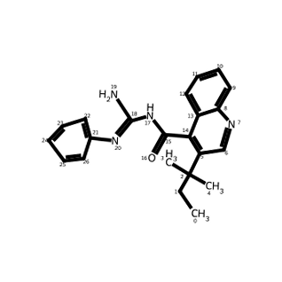 CCC(C)(C)c1cnc2ccccc2c1C(=O)NC(N)=Nc1ccccc1